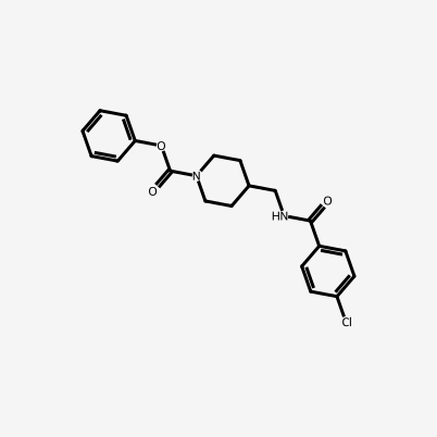 O=C(NCC1CCN(C(=O)Oc2ccccc2)CC1)c1ccc(Cl)cc1